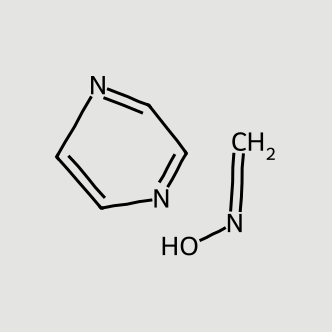 C=NO.c1cnccn1